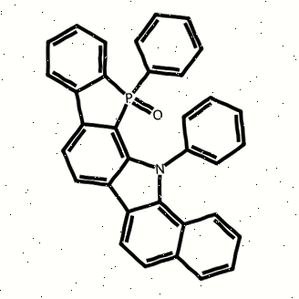 O=P1(c2ccccc2)c2ccccc2-c2ccc3c4ccc5ccccc5c4n(-c4ccccc4)c3c21